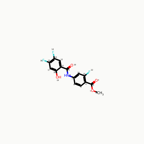 COC(=O)c1ccc(NC(=O)c2cc(F)c(F)cc2O)cc1F